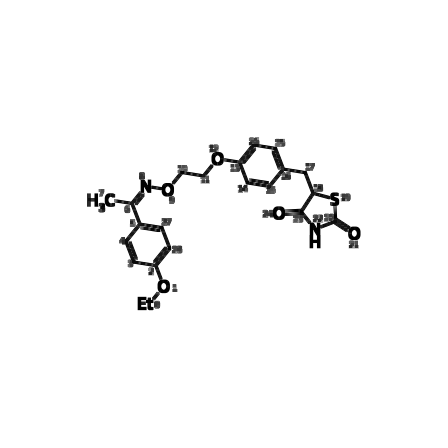 CCOc1ccc(/C(C)=N\OCCOc2ccc(CC3SC(=O)NC3=O)cc2)cc1